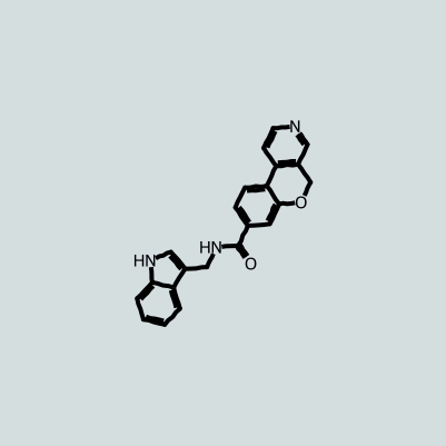 O=C(NCc1c[nH]c2ccccc12)c1ccc2c(c1)OCc1cnccc1-2